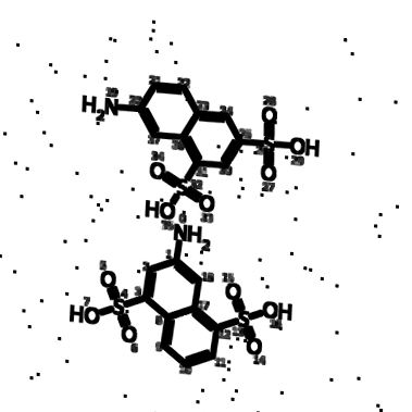 Nc1cc(S(=O)(=O)O)c2cccc(S(=O)(=O)O)c2c1.Nc1ccc2cc(S(=O)(=O)O)cc(S(=O)(=O)O)c2c1